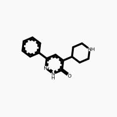 O=c1[nH]nc(-c2ccccc2)cc1C1CCNCC1